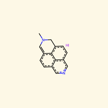 CN1C=c2ccc3cncc4ccc(c2c43)C1.I